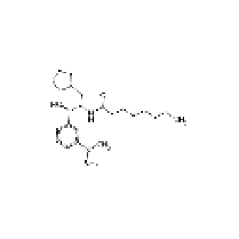 CCCCCCCC(=O)N[C@H](CN1CCCC1)[C@H](O)c1cccc(N(C)C)c1